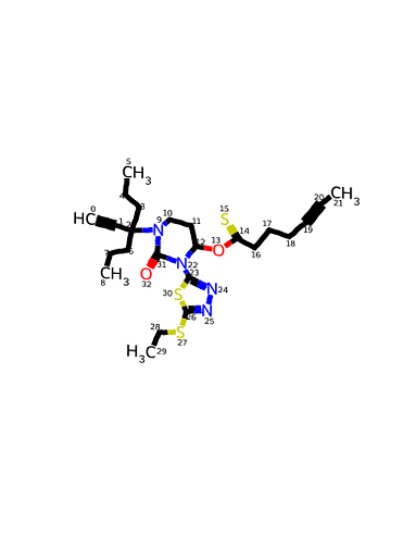 C#CC(CCC)(CCC)N1CCC(OC(=S)CCCC#CC)N(c2nnc(SCC)s2)C1=O